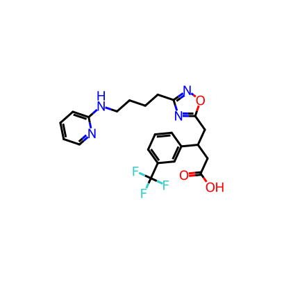 O=C(O)CC(Cc1nc(CCCCNc2ccccn2)no1)c1cccc(C(F)(F)F)c1